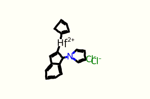 C1=CC[C]([Hf+2][C]2=Cc3ccccc3C2n2cccc2)=C1.[Cl-].[Cl-]